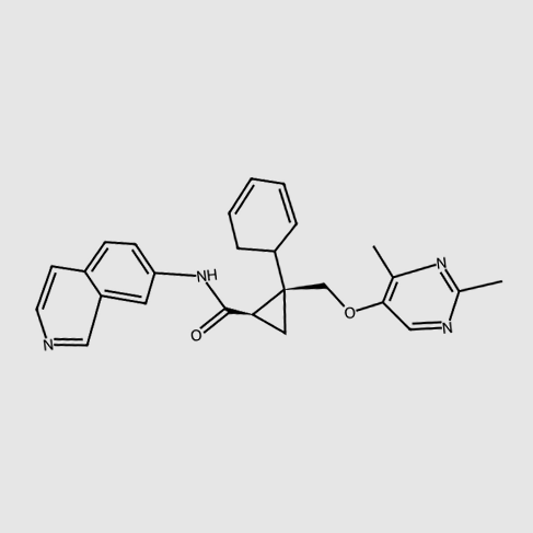 Cc1ncc(OC[C@@]2(C3C=CC=CC3)C[C@H]2C(=O)Nc2ccc3ccncc3c2)c(C)n1